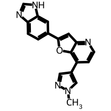 Cn1cc(-c2ccnc3cc(-c4ccc5nc[nH]c5c4)oc23)cn1